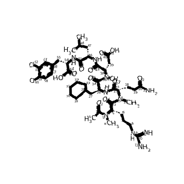 CC(=O)N(C)[C@@H](CCCNC(=N)N)C(=O)N(C)[C@@H](CCC(N)=O)C(=O)N[C@@H](CC1CCCCC1)C(=O)N(C)[C@@H](CC(=O)O)C(=O)N[C@@H](CC(C)C)C(=O)N[C@@H](Cc1ccc(Cl)c(Cl)c1)C(=O)O